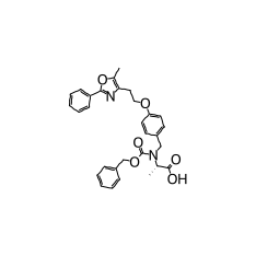 Cc1oc(-c2ccccc2)nc1CCOc1ccc(CN(C(=O)OCc2ccccc2)[C@@H](C)C(=O)O)cc1